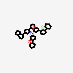 c1ccc(-c2ccc(-c3cccc4ccccc34)cc2N(c2cccc(-c3cccc4c3sc3ccccc34)c2)c2ccc3c(c2)oc2ccccc23)cc1